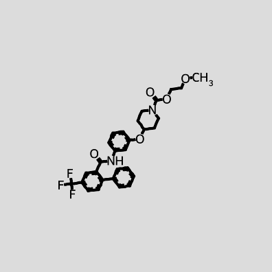 COCCOC(=O)N1CCC(Oc2cccc(NC(=O)c3cc(C(F)(F)F)ccc3-c3ccccc3)c2)CC1